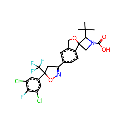 CC(C)(C)C1N(C(=O)O)CC12OCc1cc(C3=NOC(c4cc(Cl)c(F)c(Cl)c4)(C(F)(F)F)C3)ccc12